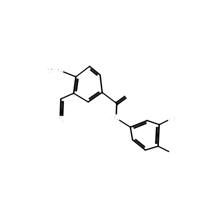 CNc1ccc(C(=O)Nc2ccc(Cl)c(Cl)c2)cc1C=N